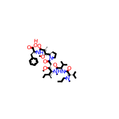 CCCN(C)[C@H](C(=O)N[C@H](C(=O)N(C)[C@@H]([C@@H](C)CC)[C@@H](CC(=O)N1CCC[C@H]1[C@H](OC)[C@@H](C)C(=O)N[C@@H](Cc1ccccc1)C(=O)O)OC)C(C)C)C(C)C